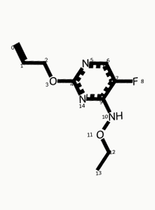 C=CCOc1ncc(F)c(NOCC)n1